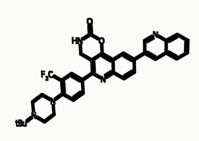 CC(C)(C)N1CCN(c2ccc(-c3nc4ccc(-c5cnc6ccccc6c5)cc4c4c3CNC(=O)O4)cc2C(F)(F)F)CC1